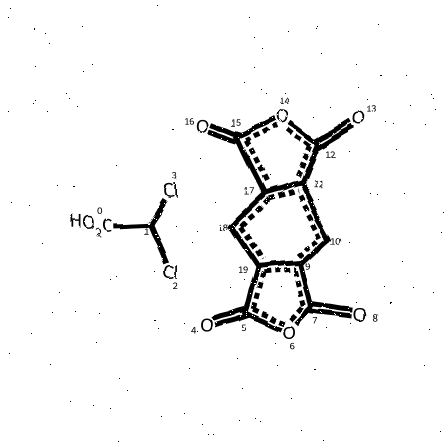 O=C(O)C(Cl)Cl.O=c1oc(=O)c2cc3c(=O)oc(=O)c3cc12